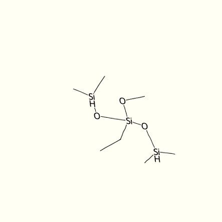 CC[Si](OC)(O[SiH](C)C)O[SiH](C)C